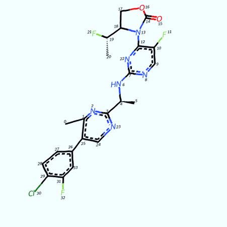 Cc1nc([C@H](C)Nc2ncc(F)c(N3C(=O)OCC3[C@H](C)F)n2)ncc1-c1ccc(Cl)c(F)c1